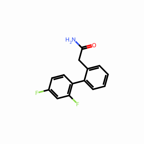 NC(=O)Cc1ccccc1-c1ccc(F)cc1F